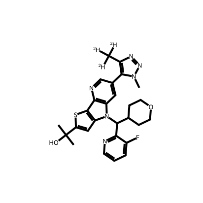 [2H]C([2H])([2H])c1nnn(C)c1-c1cnc2c3sc(C(C)(C)O)cc3n(C(c3ncccc3F)C3CCOCC3)c2c1